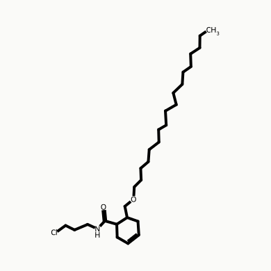 CCCCCCCCCCCCCCCCCCOCC1CC=CCC1C(=O)NCCCCl